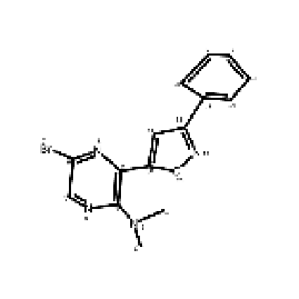 CN(C)c1ncc(Br)nc1-c1cc(-c2ccccc2)no1